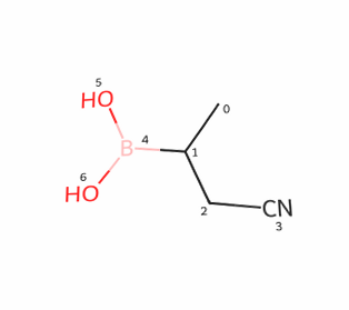 CC(CC#N)B(O)O